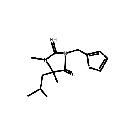 CC(C)CC1(C)C(=O)N(Cc2cccs2)C(=N)N1C